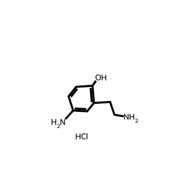 Cl.NCCc1cc(N)ccc1O